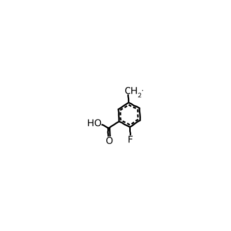 [CH2]c1ccc(F)c(C(=O)O)c1